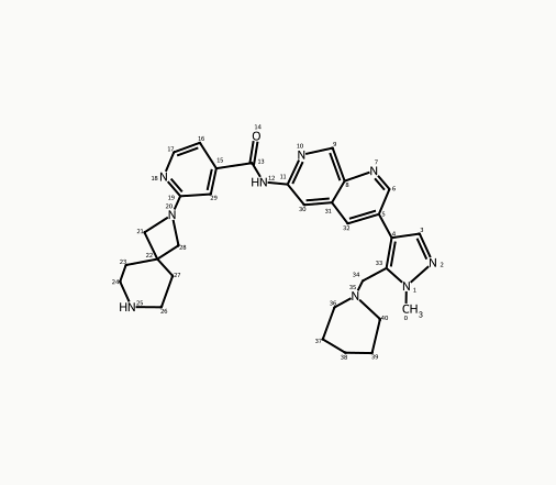 Cn1ncc(-c2cnc3cnc(NC(=O)c4ccnc(N5CC6(CCNCC6)C5)c4)cc3c2)c1CN1CCCCC1